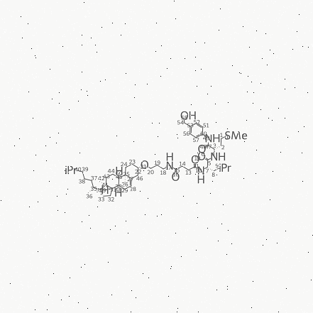 CSCC[C@H](NC(=O)[C@H](CC(C)C)NC(=O)CCC(=O)NCCCO[C@H]1CC[C@@]2(C)C(=CC[C@H]3[C@@H]4CC[C@H]([C@H](C)CCCC(C)C)[C@@]4(C)CC[C@@H]32)C1)C(=O)Nc1ccc(CO)cc1